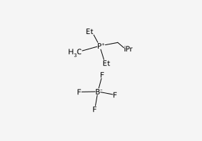 CC[P+](C)(CC)CC(C)C.F[B-](F)(F)F